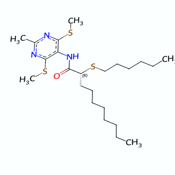 CCCCCCCC[C@@H](SCCCCCC)C(=O)Nc1c(SC)nc(C)nc1SC